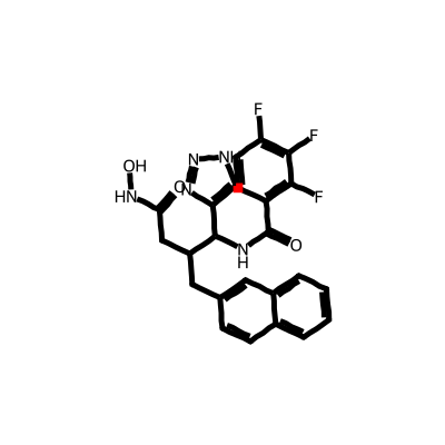 O=C(CC(Cc1ccc2ccccc2c1)C(NC(=O)c1ccc(F)c(F)c1F)c1c[nH]nn1)NO